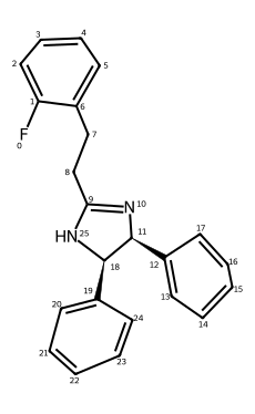 Fc1ccccc1CCC1=N[C@@H](c2ccccc2)[C@@H](c2ccccc2)N1